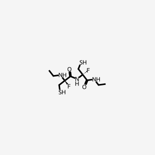 CCNC(=O)[C@](F)(CS)NC(=O)[C@](F)(CS)NCC